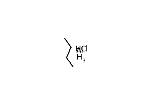 CCCC.Cl.[AlH3]